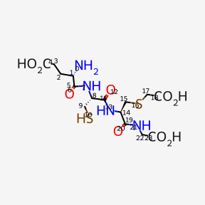 N[C@@H](CCC(=O)O)C(=O)N[C@@H](CS)C(=O)N[C@@H](CSCC(=O)O)C(=O)NCC(=O)O